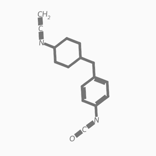 C=C=NC1CCC(Cc2ccc(N=C=O)cc2)CC1